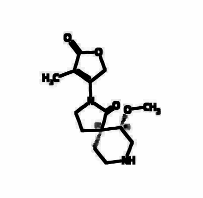 CO[C@@H]1CNCC[C@@]12CCN(C1=C(C)C(=O)OC1)C2=O